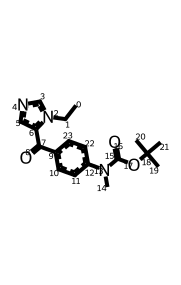 CCn1cncc1C(=O)c1ccc(N(C)C(=O)OC(C)(C)C)cc1